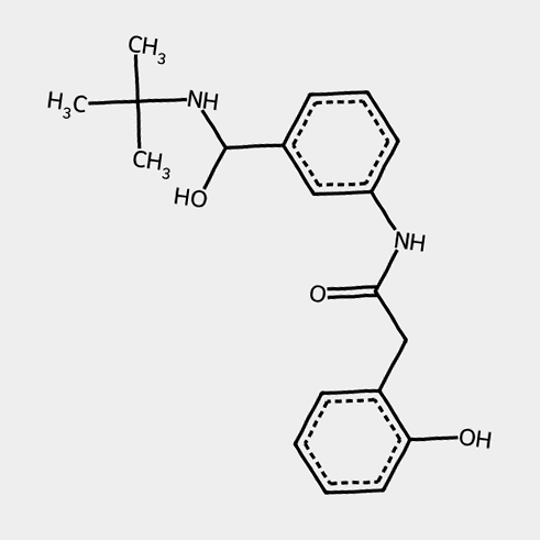 CC(C)(C)NC(O)c1cccc(NC(=O)Cc2ccccc2O)c1